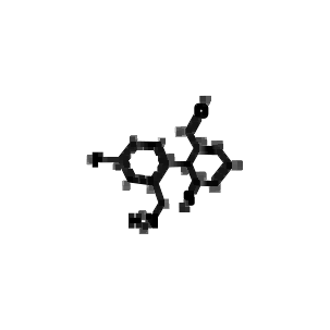 NCc1cc(F)ccc1C1C(=S)C=CC=C1C=O